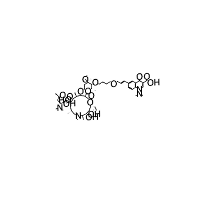 CC[C@H]1OC(=O)[C@H](C)[C@@H](O[C@H]2C[C@@](C)(OC)[C@@H](OCCCCOCC=Cc3ccc4c(c3)c(=O)c(C(=O)O)cn4N(C)C)[C@H](C)O2)[C@H](C)[C@@H](O[C@@H]2O[C@H](C)C[C@H](N(C)C)[C@H]2O)[C@](C)(O)C[C@@H](C)CN(C)[C@H](C)[C@@H](O)[C@]1(C)O